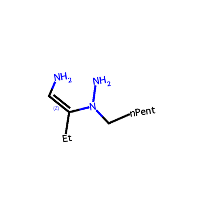 CCCCCCN(N)/C(=C\N)CC